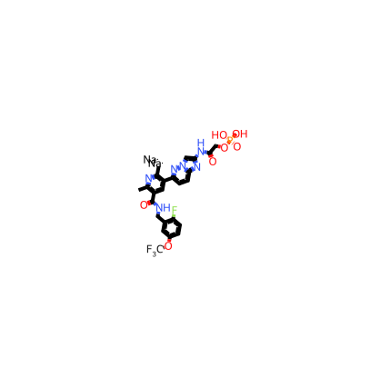 Cc1nc(C)c(-c2ccc3nc(NC(=O)COP(=O)(O)O)cn3n2)cc1C(=O)NCc1cc(OC(F)(F)F)ccc1F.[Na].[Na]